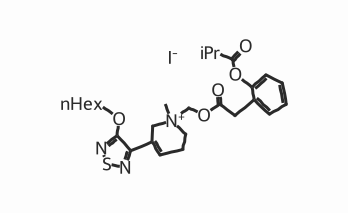 CCCCCCOc1nsnc1C1=CCC[N+](C)(COC(=O)Cc2ccccc2OC(=O)C(C)C)C1.[I-]